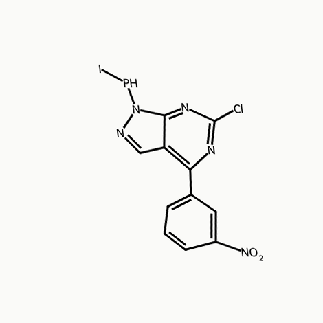 O=[N+]([O-])c1cccc(-c2nc(Cl)nc3c2cnn3PI)c1